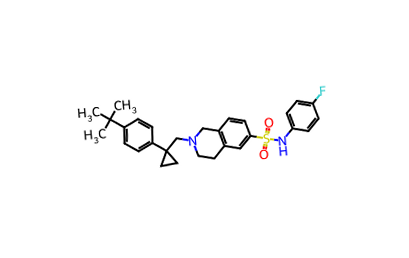 CC(C)(C)c1ccc(C2(CN3CCc4cc(S(=O)(=O)Nc5ccc(F)cc5)ccc4C3)CC2)cc1